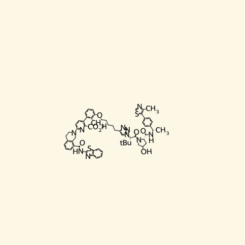 Cc1ncsc1-c1ccc([C@H](C)NC(=O)[C@@H]2C[C@@H](O)CN2C(=O)[C@@H](n2cc(CCCCCOc3cccc(-c4ccc(N5CCc6cccc(C(=O)Nc7nc8ccccc8s7)c6C5)nc4C(=O)O)c3C)nn2)C(C)(C)C)cc1